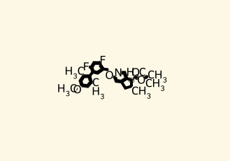 COc1cc(C)c(-c2cc(COc3cc4c(cn3)[C@@H](C(=O)OC(C)(C)C)C(C)C4)c(F)cc2F)c(C)c1